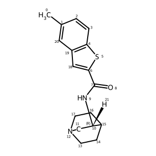 Cc1ccc2sc(C(=O)N[C@H]3CN4CCC3CC4)cc2c1